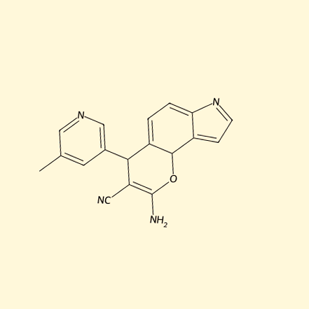 Cc1cncc(C2C3=CC=C4N=CC=C4C3OC(N)=C2C#N)c1